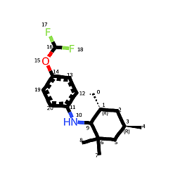 [CH2][C@@H]1C[C@@H](C)CC(C)(C)C1Nc1ccc(OC(F)F)cc1